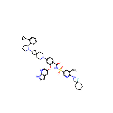 O=C(NS(=O)(=O)c1cnc(NCC2(F)CCCCC2)c([N+](=O)[O-])c1)c1ccc(N2CCC3(CC2)CC(N2CCC[C@H]2c2ccccc2C2CC2)C3)cc1Oc1cnc2[nH]ccc2c1